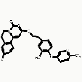 N#Cc1cc(CCOc2cc3n(c(=O)n2)CCc2cc(F)ccc2-3)ccc1Oc1ccc(C(F)(F)F)nc1